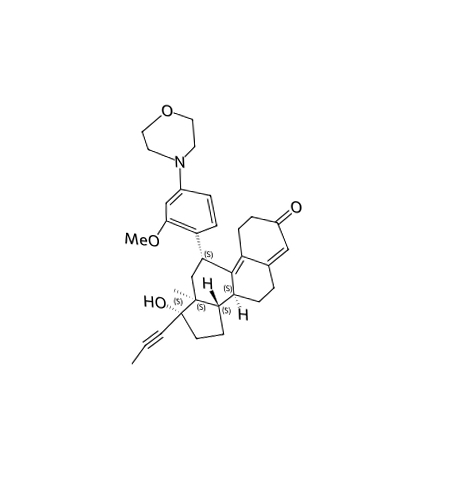 CC#C[C@]1(O)CC[C@H]2[C@@H]3CCC4=CC(=O)CCC4=C3[C@@H](c3ccc(N4CCOCC4)cc3OC)C[C@@]21C